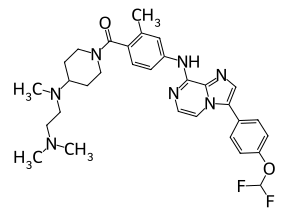 Cc1cc(Nc2nccn3c(-c4ccc(OC(F)F)cc4)cnc23)ccc1C(=O)N1CCC(N(C)CCN(C)C)CC1